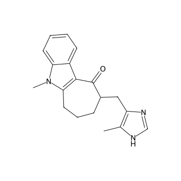 Cc1[nH]cnc1CC1CCCc2c(c3ccccc3n2C)C1=O